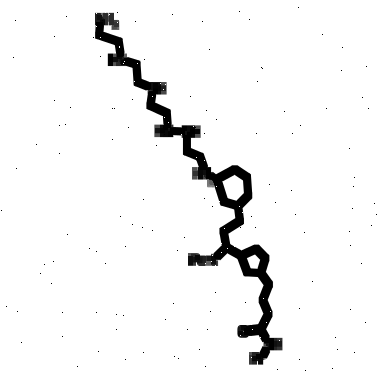 CCCC(C)C(CCC1CCC[C@H](NCCNNCCNCCNCCN)C1)C1CCC(CCCC(=O)NC(C)C)C1